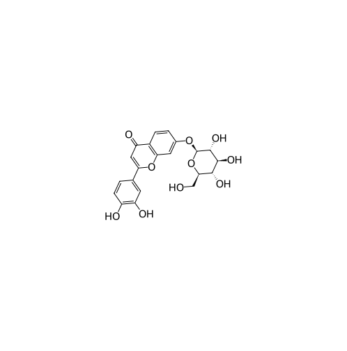 O=c1cc(-c2ccc(O)c(O)c2)oc2cc(O[C@@H]3O[C@H](CO)[C@@H](O)[C@H](O)[C@H]3O)ccc12